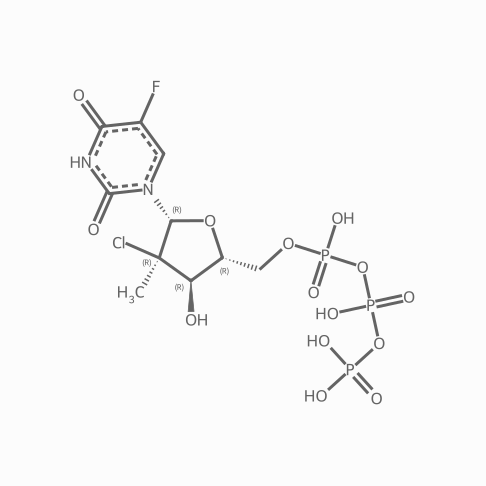 C[C@@]1(Cl)[C@H](O)[C@@H](COP(=O)(O)OP(=O)(O)OP(=O)(O)O)O[C@H]1n1cc(F)c(=O)[nH]c1=O